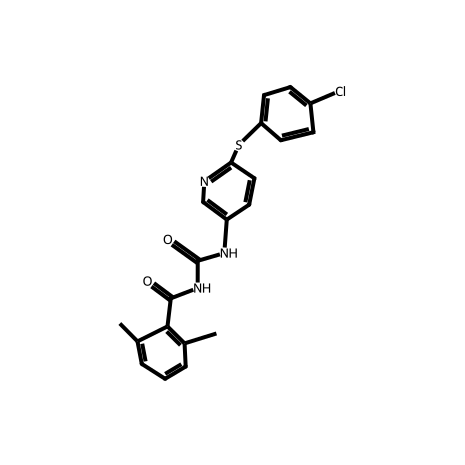 Cc1cccc(C)c1C(=O)NC(=O)Nc1ccc(Sc2ccc(Cl)cc2)nc1